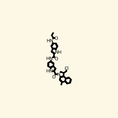 CCC(=O)Nc1ccc2[nH]c(C(=O)Nc3ccc4[nH]c(C(=O)N5CC(CCl)c6c5cc(C)c5ccccc65)cc4c3)cc2c1